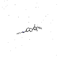 CCC/C=C/C1CCC2CC(c3cc(F)c(OC)c(F)c3)CCC2C1